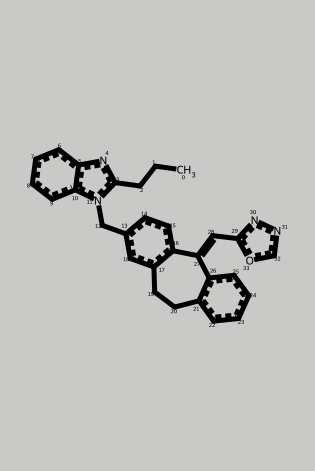 CCCc1nc2ccccc2n1Cc1ccc2c(c1)CCc1ccccc1C2=Cc1nnco1